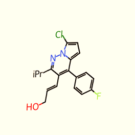 CC(C)c1nn2c(Cl)ccc2c(-c2ccc(F)cc2)c1C=CCO